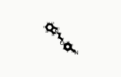 N#Cc1ccc(OCCCN2CC3CCCCC3C2)cc1